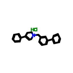 C1=C(c2ccccc2)CCN(Cc2cccc(-c3ccccc3)c2)C1.Cl